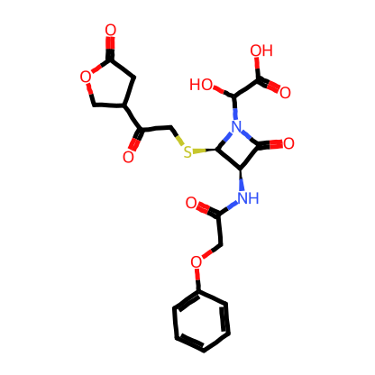 O=C(COc1ccccc1)N[C@@H]1C(=O)N(C(O)C(=O)O)[C@@H]1SCC(=O)C1COC(=O)C1